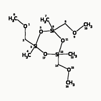 COC[Si]1(C)O[Si](C)(COC)O[Si](C)(COC)O1